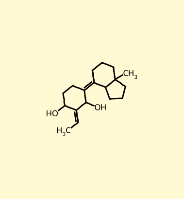 CC=C1C(O)CCC(=C2CCCC3(C)CCCC23)C1O